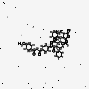 CCC(c1ccccc1)C(C(=O)Oc1ccc(C(=O)CC(=O)c2ccc(C)cc2)cc1)C(CC(c1ccccc1)C1C(=O)OC(=O)C1C)C(=O)O